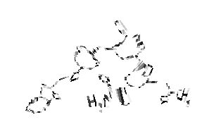 CC(=O)CC1C[C@H](OC(C)=O)CC(c2ccc(Cl)c(Cc3ccc(OCc4cc5ccccc5o4)cc3)c2)O1